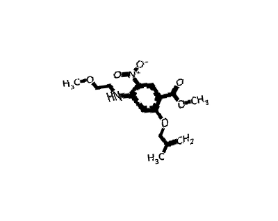 C=C(C)COc1cc(NCCOC)c([N+](=O)[O-])cc1C(=O)OC